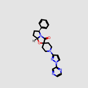 O=C1N2[C@@H](CC[C@H]2c2ccccc2)OC12CCN(c1ccn(-c3cnccn3)n1)CC2